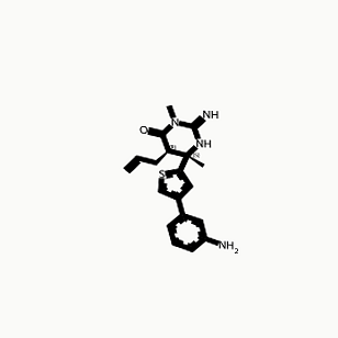 C=CC[C@H]1C(=O)N(C)C(=N)N[C@]1(C)c1cc(-c2cccc(N)c2)cs1